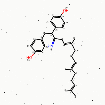 CC(C)=CCC/C(C)=C/CC/C(C)=C/CC(=N)C(Cc1ccc(O)cc1)c1ccc(O)cc1